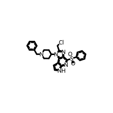 O=S(=O)(c1ccccc1)c1nc2[nH]ccc2c2c1nc(CCl)n2C1CCN(Cc2ccccc2)CC1